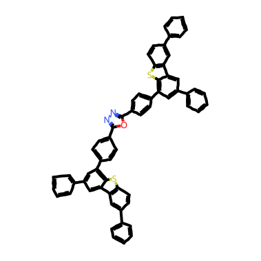 c1ccc(-c2ccc3sc4c(-c5ccc(-c6nnc(-c7ccc(-c8cc(-c9ccccc9)cc9c8sc8ccc(-c%10ccccc%10)cc89)cc7)o6)cc5)cc(-c5ccccc5)cc4c3c2)cc1